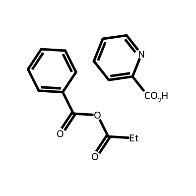 CCC(=O)OC(=O)c1ccccc1.O=C(O)c1ccccn1